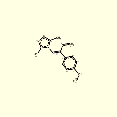 C=N/C(=C\n1c(C)nnc1C(C)C)c1ccc(OC(F)(F)F)cc1